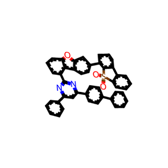 O=S1(=O)c2ccccc2-c2cccc(-c3ccc4c(c3)oc3cccc(-c5nc(-c6ccccc6)cc(-c6ccc(-c7ccccc7)cc6)n5)c34)c21